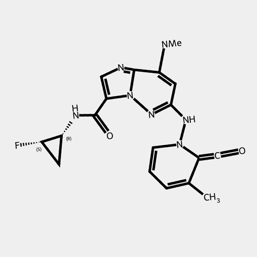 CNc1cc(NN2C=CC=C(C)C2=C=O)nn2c(C(=O)N[C@@H]3C[C@@H]3F)cnc12